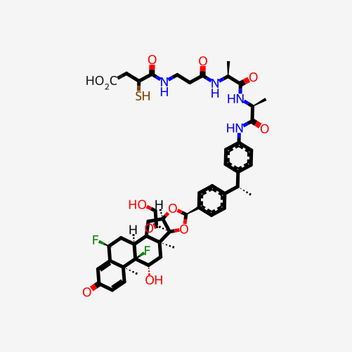 C[C@@H](c1ccc(NC(=O)[C@H](C)NC(=O)[C@H](C)NC(=O)CCNC(=O)C(S)CC(=O)O)cc1)c1ccc([C@@H]2O[C@@H]3CC4[C@@H]5C[C@H](F)C6=CC(=O)C=C[C@]6(C)[C@@]5(F)[C@@H](O)C[C@]4(C)[C@]3(C(=O)CO)O2)cc1